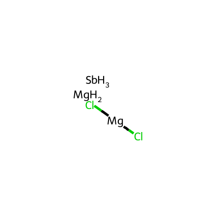 [Cl][Mg][Cl].[MgH2].[SbH3]